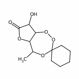 CC1OC2(CCCCC2)OOC2C(O)C(=O)OC12